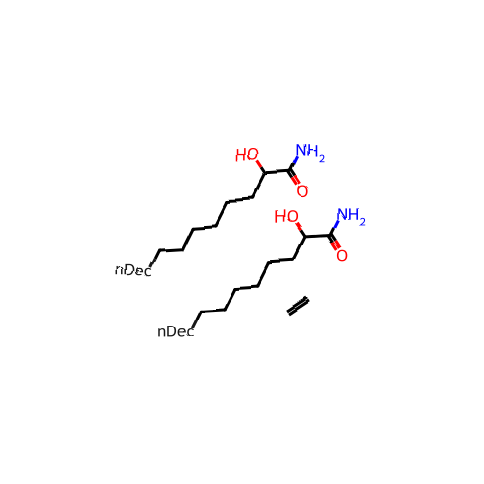 C=C.CCCCCCCCCCCCCCCCC(O)C(N)=O.CCCCCCCCCCCCCCCCC(O)C(N)=O